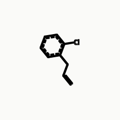 C=CCc1ccccc1Cl